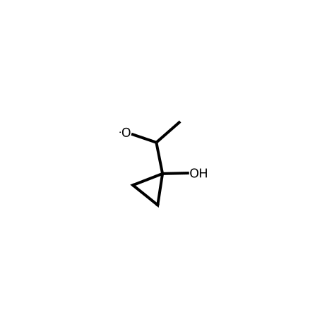 CC([O])C1(O)CC1